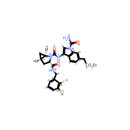 CCOC(=O)Cc1ccc2c(NC(=O)N3[C@@H]4C[C@@H]4C[C@H]3C(=O)NCc3cccc(Cl)c3F)cn(C(N)=O)c2c1